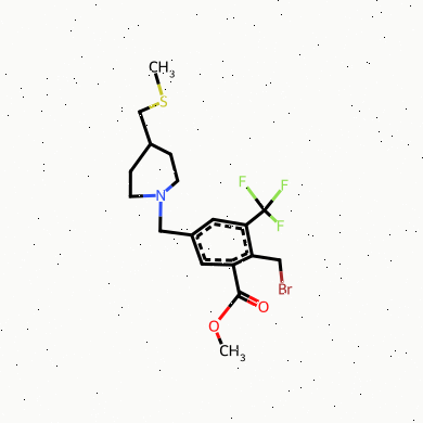 COC(=O)c1cc(CN2CCC(CSC)CC2)cc(C(F)(F)F)c1CBr